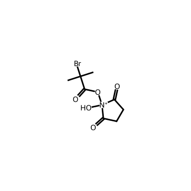 CC(C)(Br)C(=O)O[N+]1(O)C(=O)CCC1=O